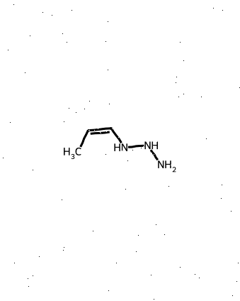 C/C=C\NNN